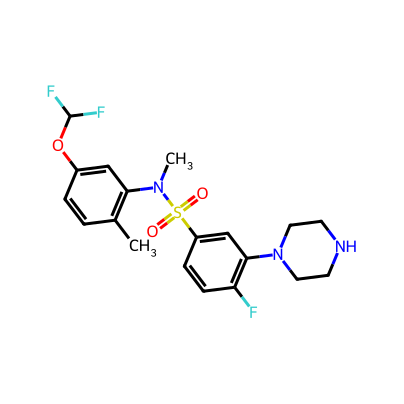 Cc1ccc(OC(F)F)cc1N(C)S(=O)(=O)c1ccc(F)c(N2CCNCC2)c1